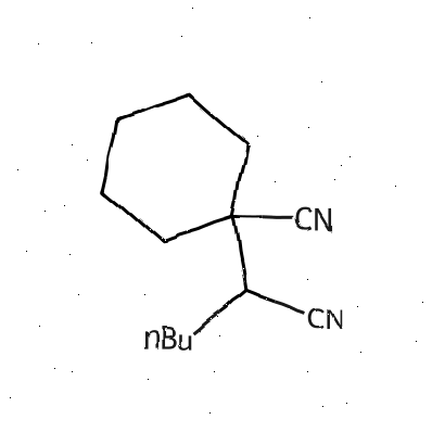 CCCCC(C#N)C1(C#N)CCCCC1